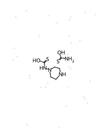 NC(O)=S.OC(=S)NN1CCNCC1